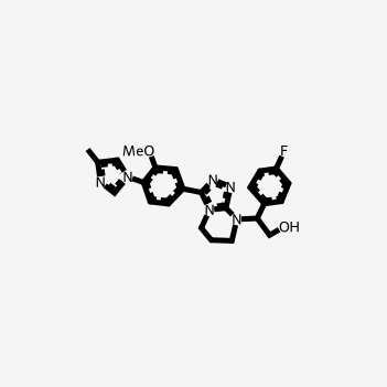 COc1cc(-c2nnc3n2CCCN3C(CO)c2ccc(F)cc2)ccc1-n1cnc(C)c1